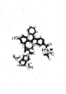 C=S(=O)(NC(=O)c1ccc2c(C3CCCCC3)c3n(c2c1)CC1(C(=O)N2C[C@@]4(CO)CNC[C@@]4(COC)C2)CC1c1cc(O)ccc1-3)C(C)C